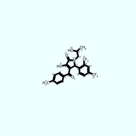 Cc1ccc(C(=O)C2=C(O)C(=O)N(CC(C)O)C2c2ccc(C(F)(F)F)cc2C(F)(F)F)cc1